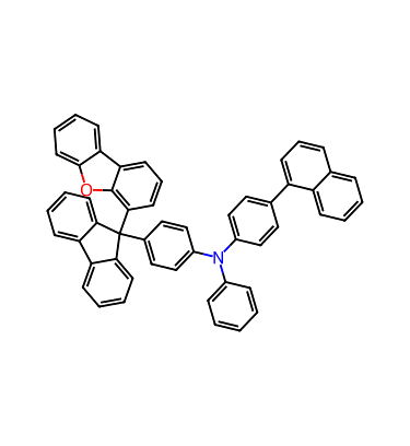 c1ccc(N(c2ccc(-c3cccc4ccccc34)cc2)c2ccc(C3(c4cccc5c4oc4ccccc45)c4ccccc4-c4ccccc43)cc2)cc1